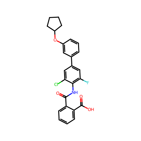 O=C(O)c1ccccc1C(=O)Nc1c(F)cc(-c2cccc(OC3CCCC3)c2)cc1Cl